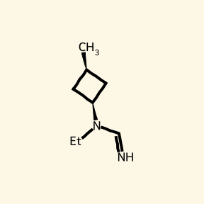 CCN(C=N)[C@H]1C[C@@H](C)C1